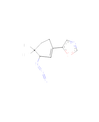 CC1(C)CCC(c2cnco2)=CC1N=[N+]=[N-]